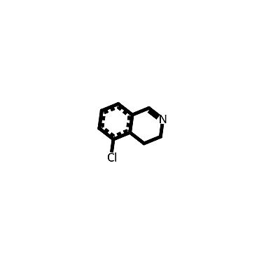 Clc1cccc2c1CCN=C2